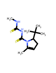 CNC(=S)NC(=S)N1C(C)=CCC1C(C)(C)C